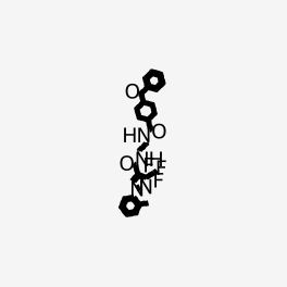 Cc1ccccc1-n1cc(C(=O)NCCNC(=O)C2CCC(C(=O)c3ccccc3)CC2)c(C(F)(F)F)n1